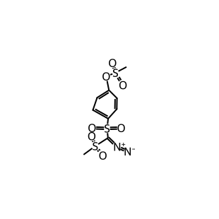 CS(=O)(=O)Oc1ccc(S(=O)(=O)C(=[N+]=[N-])S(C)(=O)=O)cc1